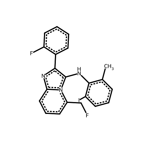 Cc1cccc(I)c1Nc1c(-c2ccccc2F)nc2cccc(CF)n12